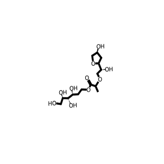 CC(OC[C@@H](O)C1C[C@H](O)CO1)C(=O)OCC[C@@H](O)[C@H](O)[C@@H](O)CO